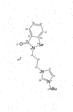 CCCC[n+]1ccn(CCCn2[se]c3ccccc3c2=O)c1.[I-]